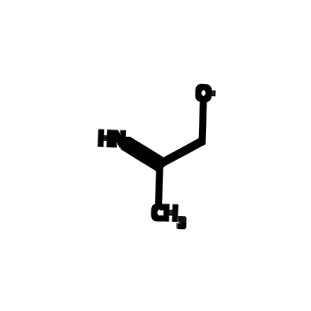 CC(=N)C[O]